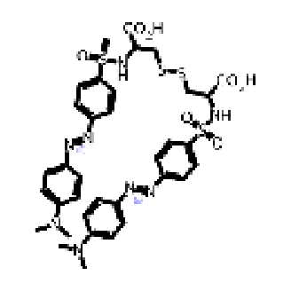 C=S(=O)(NC(CSSCC(NS(=O)(=O)c1ccc(/N=N/c2ccc(N(C)C)cc2)cc1)C(=O)O)C(=O)O)c1ccc(/N=N/c2ccc(N(C)C)cc2)cc1